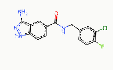 Nc1n[nH]c2ccc(C(=O)NCc3ccc(F)c(Cl)c3)cc12